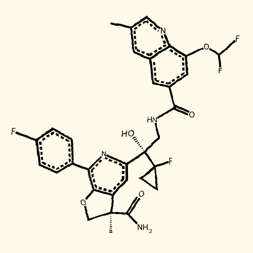 Cc1cnc2c(OC(F)F)cc(C(=O)NC[C@](O)(c3cc4c(c(-c5ccc(F)cc5)n3)OC[C@]4(C)C(N)=O)C3(F)CC3)cc2c1